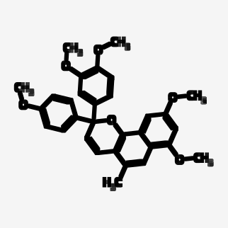 COc1ccc(C2(c3ccc(OC)c(OC)c3)C=Cc3c(C)cc4c(OC)cc(OC)cc4c3O2)cc1